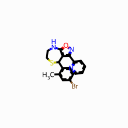 Cc1cc(Br)ccc1C1SCCNc2onc(-c3ccccn3)c21